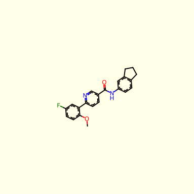 COc1ccc(F)cc1-c1ccc(C(=O)Nc2ccc3c(c2)CCC3)cn1